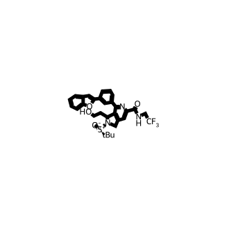 CC(C)(C)[S@@+]([O-])N1Cc2cc(C(=O)NCC(F)(F)F)nc(-c3cccc(-c4cc5ccccc5o4)c3)c2C1CCO